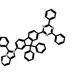 c1ccc(-c2nc(-c3ccccc3)nc(-c3ccc4c(c3)C(c3ccccc3)(c3ccccc3)c3cc(-[n+]5cc6ccccn6c5-c5ccccc5)ccc3-4)n2)cc1